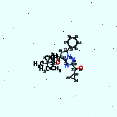 [2H]C1(O[Si](C)(C)C(C)(C)C)CC(c2ccccc2)n2nc(C(=O)C3CC3)nc21